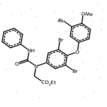 CCOC(=O)CN(C(=O)Nc1ccccc1)c1cc(Br)c(Oc2ccc(OC)c(C(C)CC)c2)c(Br)c1